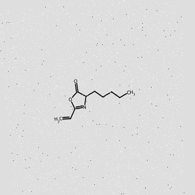 C=CC1=NC(CCCCC)C(=O)O1